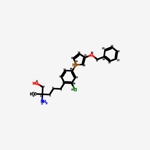 CC(N)(CO)CCCc1ccc([SH]2C=CC(OCc3ccccc3)=C2)cc1Cl